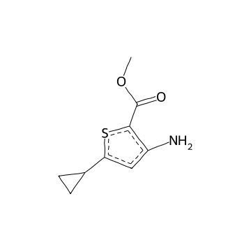 COC(=O)c1sc(C2CC2)cc1N